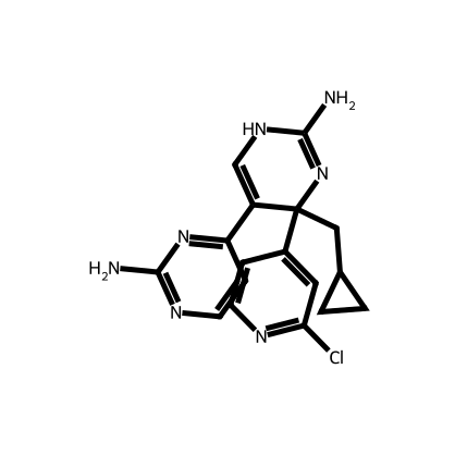 NC1=NC(CC2CC2)(c2ccnc(Cl)c2)C(c2ccnc(N)n2)=CN1